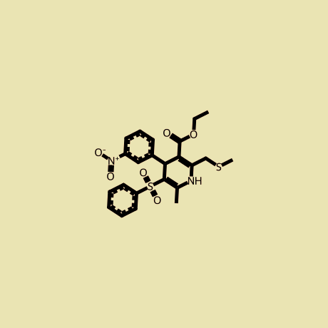 CCOC(=O)C1=C(CSC)NC(C)=C(S(=O)(=O)c2ccccc2)C1c1cccc([N+](=O)[O-])c1